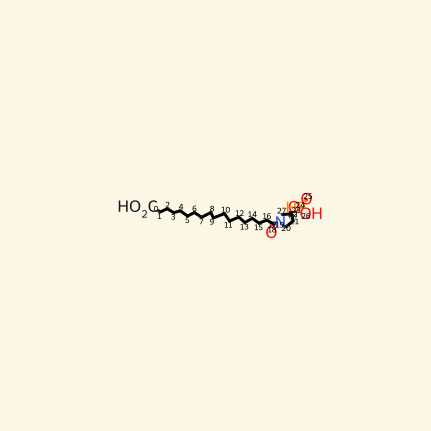 O=C(O)CCCCCCCCCCCCCCCCC(=O)N1CC[C@H](O[PH](=O)O)C1